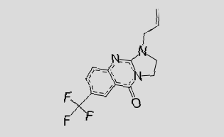 C=CCN1CCn2c1nc1ccc(C(F)(F)F)cc1c2=O